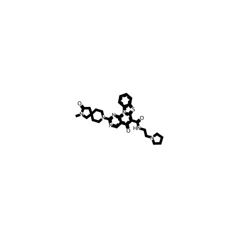 CN1CC2(CCN(c3ncc4c(=O)c(C(=O)NCCN5CCCC5)c5sc6ccccc6n5c4n3)CC2)CC1=O